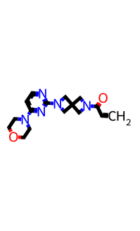 C=CC(=O)N1CC2(C1)CN(c1nccc(N3CCOCC3)n1)C2